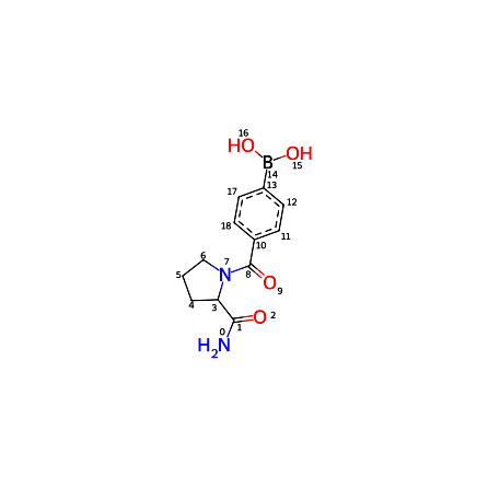 NC(=O)C1CCCN1C(=O)c1ccc(B(O)O)cc1